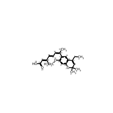 CCC1=CC(C)(C)Oc2cc(OC)c(\C(C)=C/C=C/C(C)=C/C(=O)O)cc21